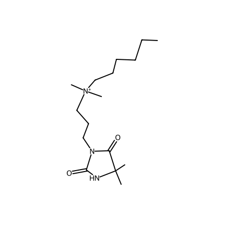 CCCCCC[N+](C)(C)CCCN1C(=O)NC(C)(C)C1=O